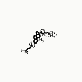 CC(C)CCCCC(C)C1CCC2C3CC=C4CC(OC(=O)CCc5cnc[nH]5)CCC4(C)C3CCC12C